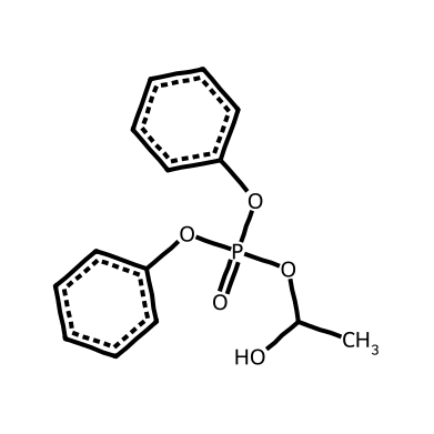 CC(O)OP(=O)(Oc1ccccc1)Oc1ccccc1